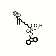 CC(C)(C)OC(=O)NCCCCCCC(NC(=O)OCC1c2ccccc2-c2ccccc21)C(=O)O